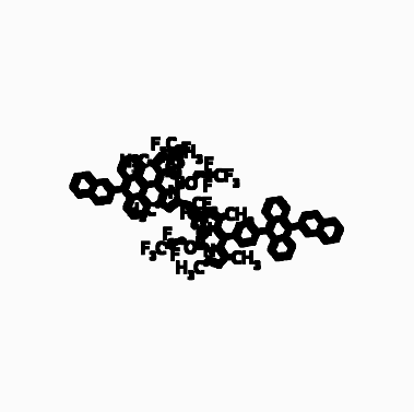 CC1=CC(CCc2cc(C)c(/C(=C3\N=C(C)C=C3C)c3c4ccccc4c(-c4ccc5ccccc5c4)c4ccccc34)n2B(OCC(F)(F)C(F)(F)F)OCC(F)(F)C(F)(F)F)=N/C1=C(/c1ccc(-c2c3ccccc3c(-c3ccc4ccccc4c3)c3ccccc23)cc1)c1c(C)cc(C)n1B(OCC(F)(F)C(F)(F)F)OCC(F)(F)C(F)(F)F